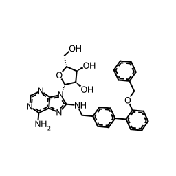 Nc1ncnc2c1nc(NCc1ccc(-c3ccccc3OCc3ccccc3)cc1)n2[C@@H]1O[C@H](CO)[C@@H](O)[C@H]1O